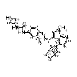 Cn1cc(C=C2Oc3ccc(NC(=O)NC4CNC4)cc3C2=O)c2c(N3CC4CCC(C3)O4)ccnc21